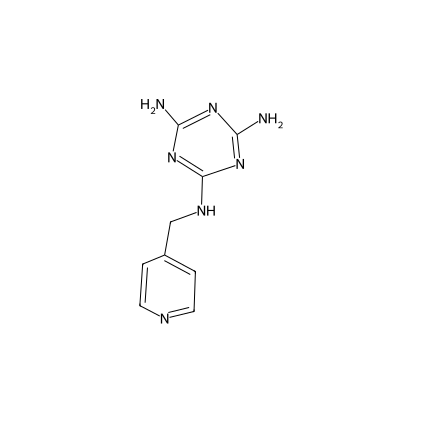 Nc1nc(N)nc(NCc2ccncc2)n1